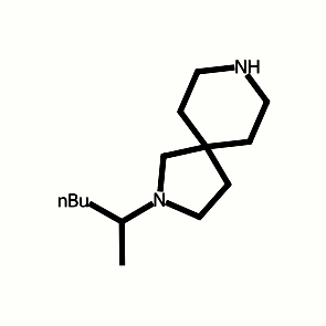 CCCCC(C)N1CCC2(CCNCC2)C1